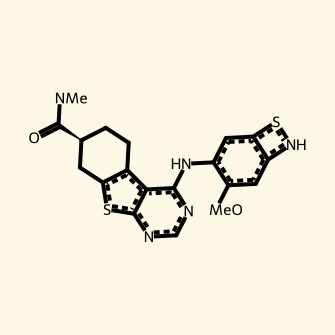 CNC(=O)[C@H]1CCc2c(sc3ncnc(Nc4cc5s[nH]c5cc4OC)c23)C1